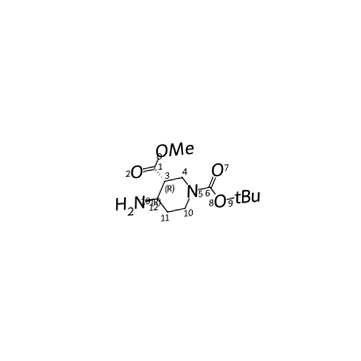 COC(=O)[C@@H]1CN(C(=O)OC(C)(C)C)CC[C@H]1N